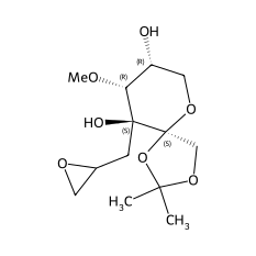 CO[C@@H]1[C@H](O)CO[C@]2(COC(C)(C)O2)[C@]1(O)CC1CO1